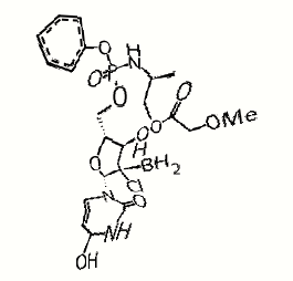 B[C@]1(Cl)[C@H](O)[C@@H](COP(=O)(N[C@@H](C)COC(=O)COC)Oc2ccccc2)O[C@H]1N1C=CC(O)NC1=O